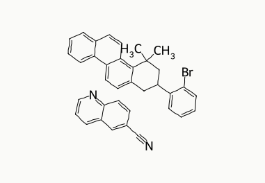 CC1(C)CC(c2ccccc2Br)Cc2ccc3c(ccc4ccccc43)c21.N#Cc1ccc2ncccc2c1